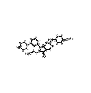 C=CCn1c(=O)c2cnc(Nc3ccc(OC)cc3)nc2n1-c1cccc(N2CCNCC2)n1